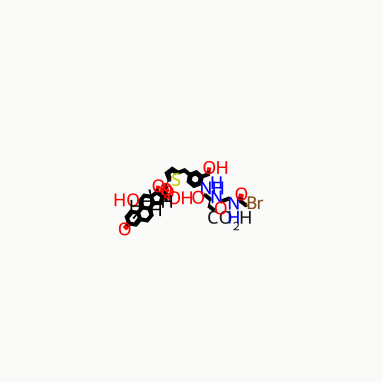 C[C@]12C=CC(=O)C=C1CC[C@@H]1[C@@H]2[C@@H](O)C[C@@]2(C)[C@H]1C[C@H]1O[C@@H](c3ccc(Cc4ccc(NC(=O)[C@H](CCC(=O)O)NC(=O)CNC(=O)CBr)c(CO)c4)s3)O[C@]12C(=O)CO